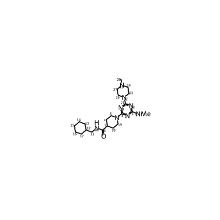 CNc1nc(N2CCC(C(=O)NCC3CCCCC3)CC2)nc(N2CCN(C)CC2)n1